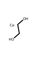 OCCO.[Ca]